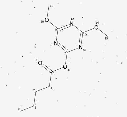 CCCCC(=O)Oc1nc(OC)nc(OC)n1